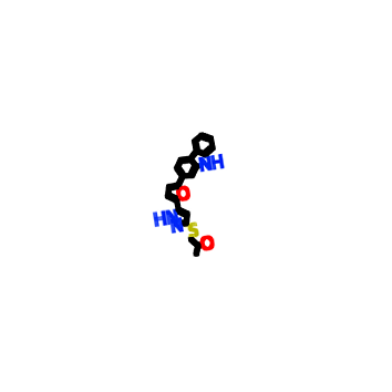 CC(=O)CSc1cc(-c2ccc(-c3ccc4c(c3)[nH]c3ccccc34)o2)[nH]n1